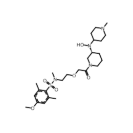 COc1cc(C)c(S(=O)(=O)N(C)CCOCC(=O)N2CCC[C@H](N(O)C3CCN(C)CC3)C2)c(C)c1